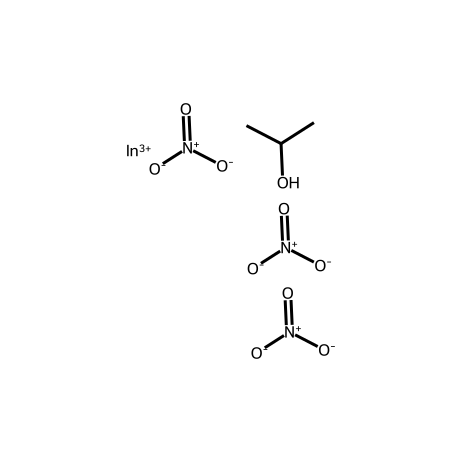 CC(C)O.O=[N+]([O-])[O-].O=[N+]([O-])[O-].O=[N+]([O-])[O-].[In+3]